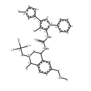 COCc1ccc2c(c1)C(NC(=O)Nc1c(C)c(-c3cn(C)cn3)nn1-c1ccccc1)CN(CC(F)(F)F)C2C